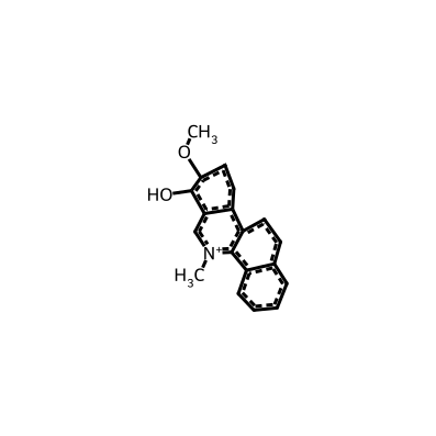 COc1ccc2c(c[n+](C)c3c4ccccc4ccc23)c1O